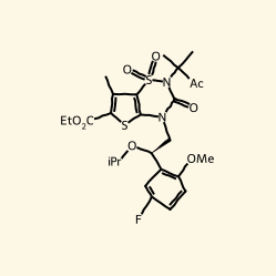 CCOC(=O)c1sc2c(c1C)S(=O)(=O)N(C(C)(C)C(C)=O)C(=O)N2C[C@H](OC(C)C)c1cc(F)ccc1OC